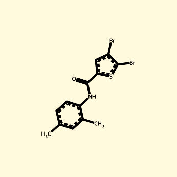 Cc1ccc(NC(=O)c2cc(Br)c(Br)s2)c(C)c1